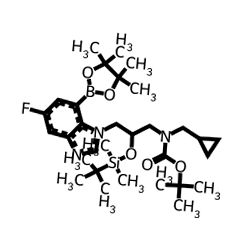 CC(C)(C)OC(=O)N(CC1CC1)CC(Cn1cnc2cc(F)cc(B3OC(C)(C)C(C)(C)O3)c21)O[Si](C)(C)C(C)(C)C